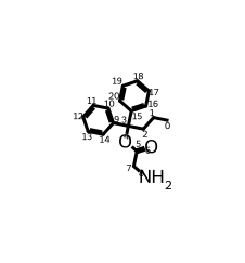 CCCC(OC(=O)CN)(c1ccccc1)c1ccccc1